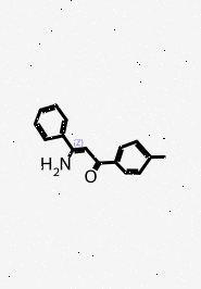 Cc1ccc(C(=O)/C=C(\N)c2ccccc2)cc1